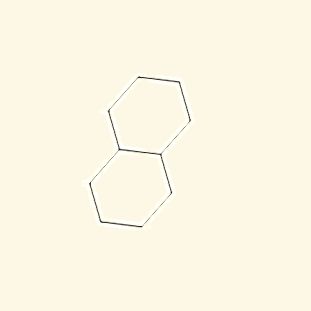 [CH]1C[CH]C2[CH]CCCC2C1